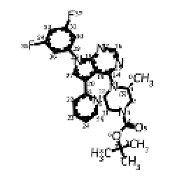 C[C@H]1CN(C(=O)OC(C)(C)C)CCN1c1ncnc2c1c(-c1ccccn1)cn2-c1cc(F)cc(F)c1